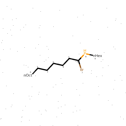 CCCCCCCCCCCCCC(Br)PCCCCCC